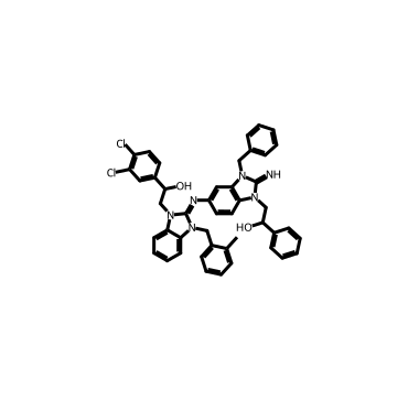 Cc1ccccc1Cn1/c(=N\c2ccc3c(c2)n(Cc2ccccc2)c(=N)n3CC(O)c2ccccc2)n(CC(O)c2ccc(Cl)c(Cl)c2)c2ccccc21